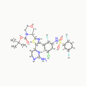 CC(C)(C)OC(=O)N1CCOCC1c1nc(-c2cc(Cl)cc(NS(=O)(=O)c3cc(F)ccc3F)c2F)c(-c2ccnc(N)n2)s1